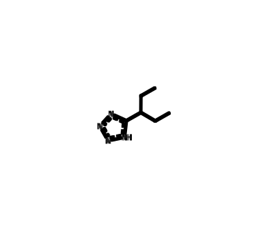 CCC(CC)c1nnn[nH]1